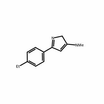 CCc1ccc(C2=NCC(NC)=C2)cc1